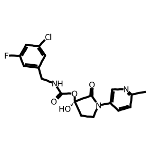 Cc1ccc(N2CC[C@@](O)(OC(=O)NCc3cc(F)cc(Cl)c3)C2=O)cn1